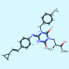 COC(=O)[C@@H](C)Cn1c(=O)[nH]/c(=N\c2ccc(/C=C/C3CC3)cc2)n(Cc2ccc(C)cc2)c1=O